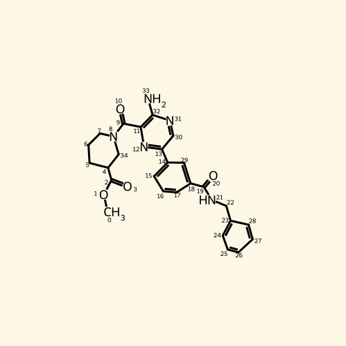 COC(=O)C1CCCN(C(=O)c2nc(-c3cccc(C(=O)NCc4ccccc4)c3)cnc2N)C1